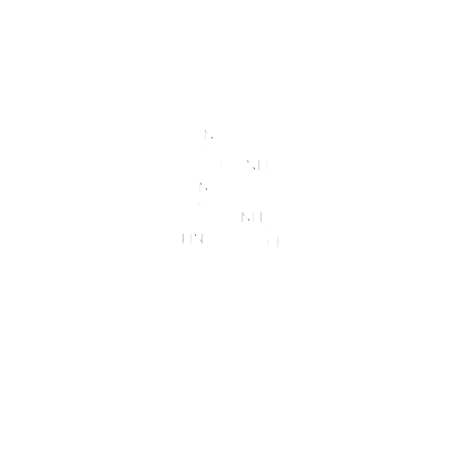 Cl.N=C(N)/N=C(\N)NC1CCCCCC1